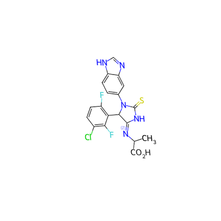 CC(/N=C1\NC(=S)N(c2ccc3[nH]cnc3c2)C1c1c(F)ccc(Cl)c1F)C(=O)O